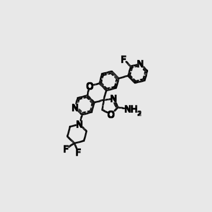 NC1=NC2(CO1)c1cc(-c3cccnc3F)ccc1Oc1cnc(N3CCC(F)(F)CC3)cc12